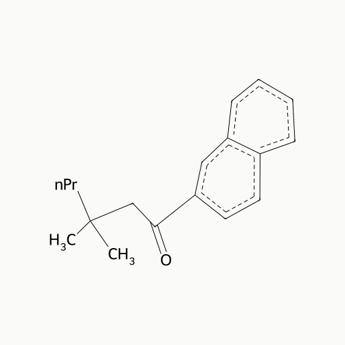 CCCC(C)(C)CC(=O)c1ccc2ccccc2c1